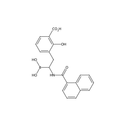 O=C(O)c1cccc(CC(NC(=O)c2cccc3ccccc23)B(O)O)c1O